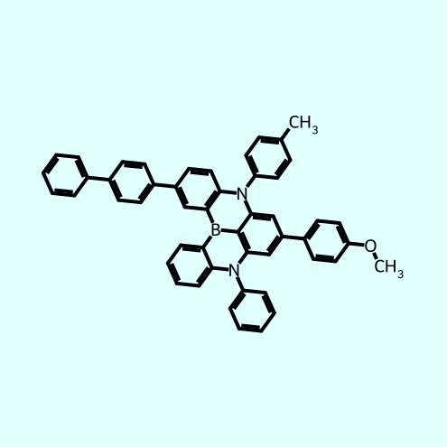 COc1ccc(-c2cc3c4c(c2)N(c2ccc(C)cc2)c2ccc(-c5ccc(-c6ccccc6)cc5)cc2B4c2ccccc2N3c2ccccc2)cc1